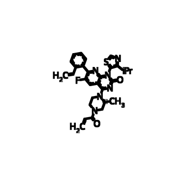 C=CC(=O)N1CCN(c2nc(=O)n(-c3scnc3C(C)C)c3nc(-c4ccccc4C=C)c(F)cc23)[C@@H](C)C1